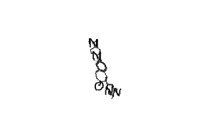 Cc1cn2cc(C3=Cc4ccc(N5CCC(N(C)C)CC5)cc4CCC3=O)cc2cn1